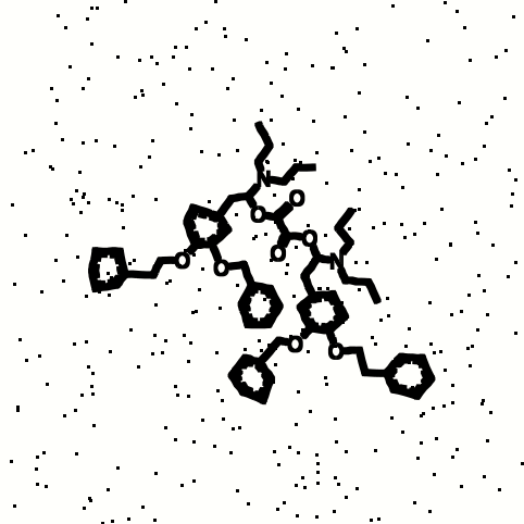 CCCN(CCC)C(Cc1ccc(OCCc2ccccc2)c(OCc2ccccc2)c1)OC(=O)C(=O)OC(Cc1ccc(OCCc2ccccc2)c(OCc2ccccc2)c1)N(CCC)CCC